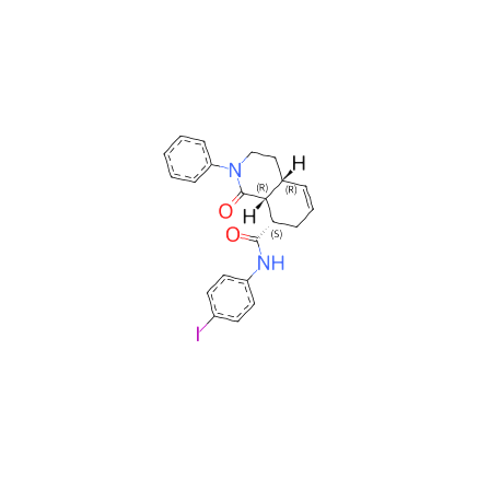 O=C(Nc1ccc(I)cc1)[C@H]1CC=C[C@H]2CCN(c3ccccc3)C(=O)[C@@H]12